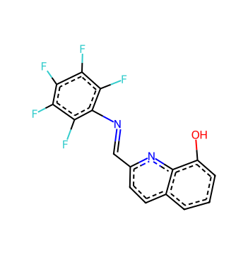 Oc1cccc2ccc(C=Nc3c(F)c(F)c(F)c(F)c3F)nc12